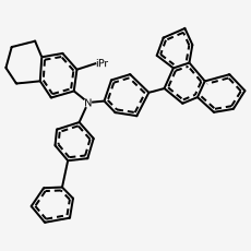 CC(C)c1cc2c(cc1N(c1ccc(-c3ccccc3)cc1)c1ccc(-c3cc4ccccc4c4ccccc34)cc1)CCCC2